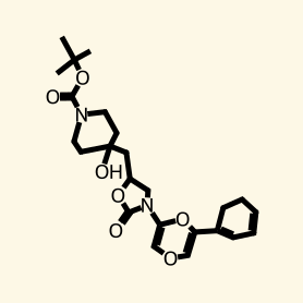 CC(C)(C)OC(=O)N1CCC(O)(CC2CN(C3=COC=C(C4=CC=CCC4)O3)C(=O)O2)CC1